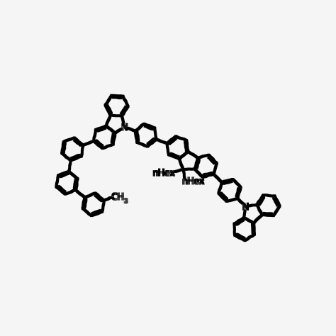 CCCCCCC1(CCCCCC)c2cc(-c3ccc(-n4c5ccccc5c5ccccc54)cc3)ccc2-c2ccc(-c3ccc(-n4c5ccccc5c5cc(-c6cccc(-c7cccc(-c8cccc(C)c8)c7)c6)ccc54)cc3)cc21